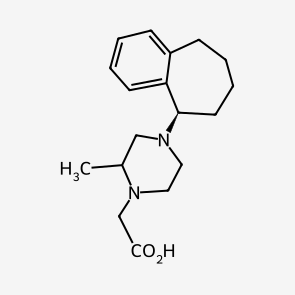 CC1CN([C@@H]2CCCCc3ccccc32)CCN1CC(=O)O